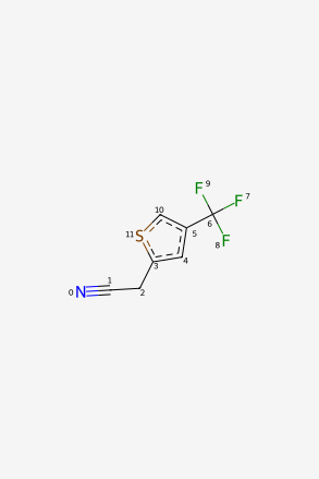 N#CCc1cc(C(F)(F)F)cs1